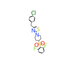 O=S(=O)(c1c(F)cccc1F)C1CCN(c2nc(Cc3ccc(Cl)cc3)cs2)CC1